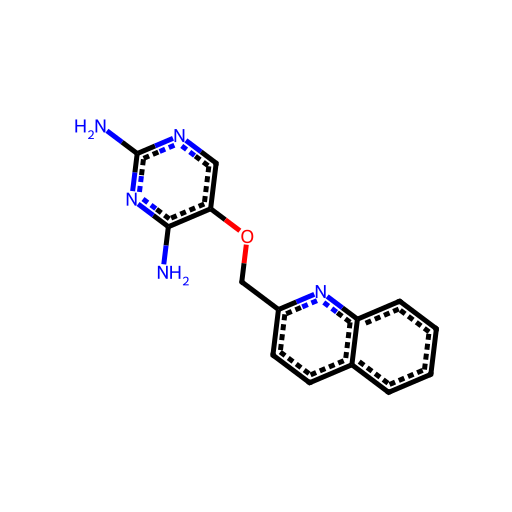 Nc1ncc(OCc2ccc3ccccc3n2)c(N)n1